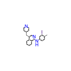 Cc1ccc(Nc2ncc(Cc3ccncc3)c3ccccc23)cc1I